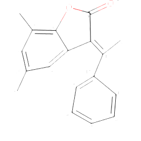 C/C(=C1\C(=O)Oc2c(C)cc(C)cc21)c1ccccc1